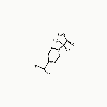 COC(=O)C(C)(C)N1CCC(C(O)C(C)C)CC1